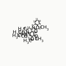 CCOC(=O)N(Cc1ccccc1)[C@@H]1C[C@H](C)N(C(=O)OC(C)(C)C)c2cc(OC)c(OC)cc21